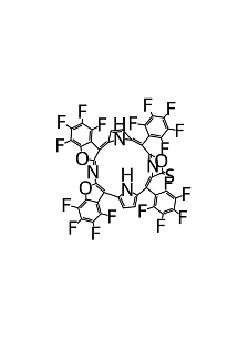 Fc1c(F)c(F)c(-c2c3nc(c(-c4c(F)c(F)c(F)c(F)c4F)c4ccc([nH]4)c4c(nc5oc6c(F)c(F)c(F)c(F)c6c5c5ccc2[nH]5)oc2c(F)c(F)c(F)c(F)c24)C(=S)O3)c(F)c1F